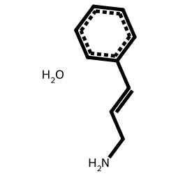 NCC=Cc1ccccc1.O